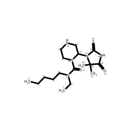 CCCCCN(CC)C(=S)N1CCNCC1N1C(=S)NC(=O)C1(C)C